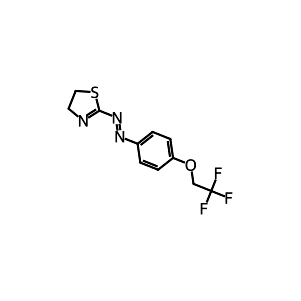 FC(F)(F)COc1ccc(N=NC2=NCCS2)cc1